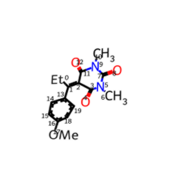 CCC(=C1C(=O)N(C)C(=O)N(C)C1=O)c1ccc(OC)cc1